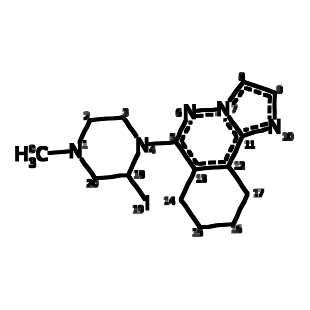 CN1CCN(c2nn3ccnc3c3c2CCCC3)C(I)C1